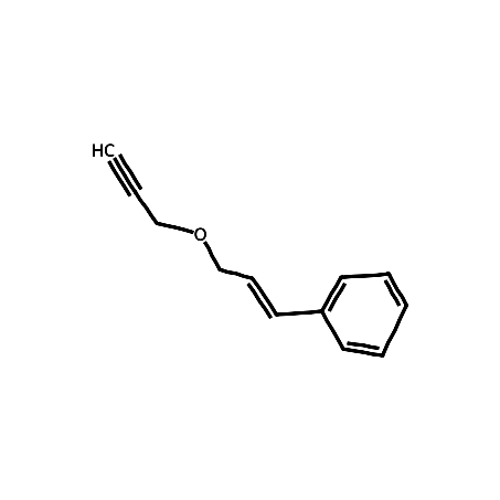 C#CCOCC=Cc1ccccc1